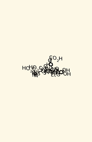 CCc1oc2cc(O)c(O)cc2c(=O)c1C(=O)NC(C(=O)N[C@]1(OC)C(=O)N2C(C(=O)O)=C(CSc3nnnn3CC(=O)O)CS[C@H]21)c1ccc(OCC(=O)O)cc1